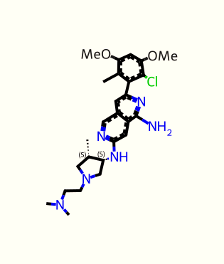 COc1cc(OC)c(Cl)c(-c2cc3cnc(N[C@@H]4CN(CCN(C)C)C[C@@H]4C)cc3c(N)n2)c1C